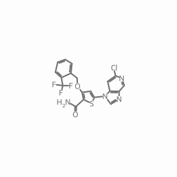 NC(=O)c1sc(-n2cnc3cnc(Cl)cc32)cc1OCc1ccccc1C(F)(F)F